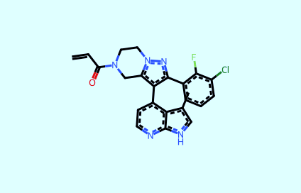 C=CC(=O)N1CCn2nc(-c3cccc(Cl)c3F)c(-c3ccnc4[nH]cc(C)c34)c2C1